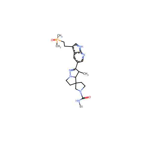 CCNC(=O)N1CCC2(CCN3N=C(c4cnc5[nH]cc(CCP(C)(C)=O)c5c4)C(C)C32)C1